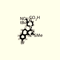 CSc1nc2c(c(N3CCN(C(=O)O)[C@@](CC#N)(C(C)(C)C)C3)n1)CCc1ccc(Br)cc1-2